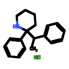 CC(c1ccccc1)C1(c2ccccc2)CCCCN1.Cl